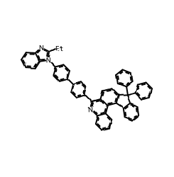 CCc1nc2ccccc2n1-c1ccc(-c2ccc(-c3nc4ccccc4c4c5c(ccc34)C(c3ccccc3)(c3ccccc3)c3ccccc3-5)cc2)cc1